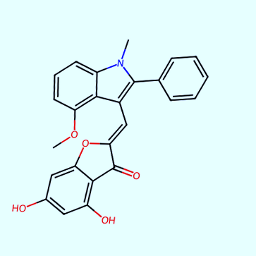 COc1cccc2c1c(/C=C1\Oc3cc(O)cc(O)c3C1=O)c(-c1ccccc1)n2C